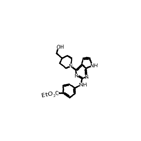 CCOC(=O)c1ccc(Nc2nc(N3CCC(CO)CC3)c3cc[nH]c3n2)cc1